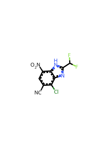 N#Cc1cc([N+](=O)[O-])c2[nH]c(C(F)F)nc2c1Cl